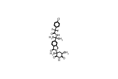 BC1CC(B)(N2Cc3cc(C(B)(B)NC(=O)C(F)(F)c4ccc(Cl)cc4)ccc3C2=O)C(=O)NC1=O